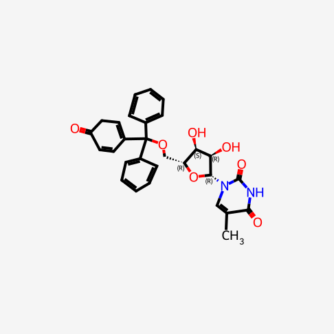 Cc1cn([C@@H]2O[C@H](COC(C3=CCC(=O)C=C3)(c3ccccc3)c3ccccc3)[C@@H](O)[C@H]2O)c(=O)[nH]c1=O